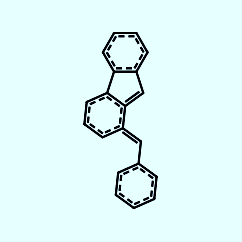 C(c1ccccc1)=c1cccc2c1=Cc1ccccc1-2